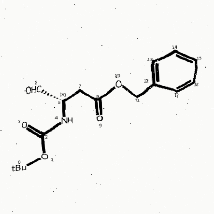 CC(C)(C)OC(=O)N[C@H]([C]=O)CC(=O)OCc1ccccc1